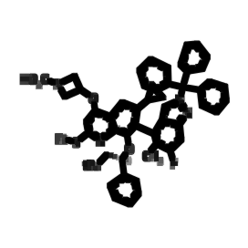 CCSc1cc(OC2CN(C(=O)O)C2)c2cc(C3CC3)c(-c3c(C)c(F)cc4nn(C(c5ccccc5)(c5ccccc5)c5ccccc5)cc34)c(O[C@@H](CC(C)(C)C)c3ccccc3)c2n1